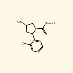 CC(=O)OC1CC(c2ccccc2Cl)N(C(=O)OC(C)(C)C)C1